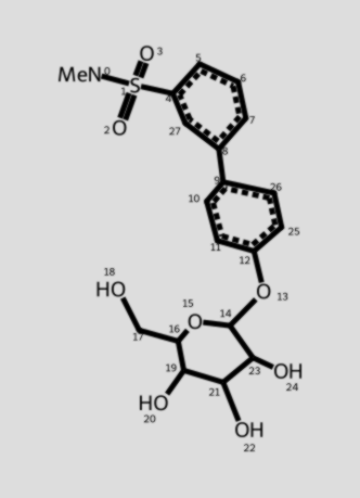 CNS(=O)(=O)c1cccc(-c2ccc(OC3OC(CO)C(O)C(O)C3O)cc2)c1